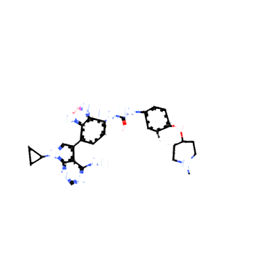 CN1CCC(Oc2ccc(NC(=O)Nc3ccc(-c4cn(C5CC5)c5ncnc(N)c45)c4nonc34)cc2C(F)(F)F)CC1